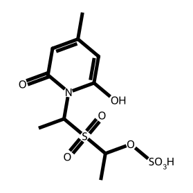 Cc1cc(O)n(C(C)S(=O)(=O)C(C)OS(=O)(=O)O)c(=O)c1